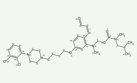 CC(C)CN(C)C(=O)OCN(C)c1cc(OCCCCN2CCN(c3cccc(Cl)c3Cl)CC2)ccc1/C=C\C=O